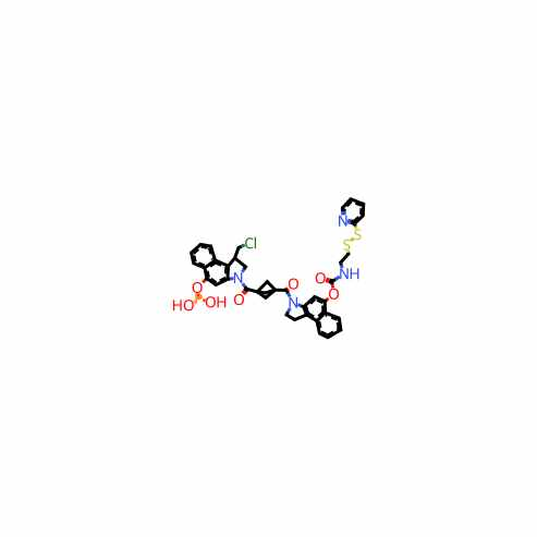 O=C(NCCSSc1ccccn1)Oc1cc2c(c3ccccc13)CCN2C(=O)C12CC(C(=O)N3CC(CCl)c4c3cc(OP(O)O)c3ccccc43)(C1)C2